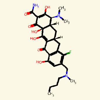 CCCCN(C)Cc1cc(O)c2c(c1F)C[C@H]1C[C@H]3[C@H](N(C)C)C(O)=C(C(N)=O)C(=O)[C@@]3(O)C(O)=C1C2=O